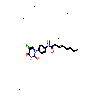 CCCCCCCC(=O)Nc1ccc(-n2cc(F)c(=O)[nH]c2=O)cc1